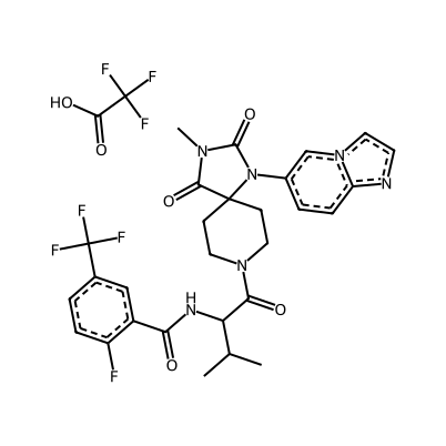 CC(C)C(NC(=O)c1cc(C(F)(F)F)ccc1F)C(=O)N1CCC2(CC1)C(=O)N(C)C(=O)N2c1ccc2nccn2c1.O=C(O)C(F)(F)F